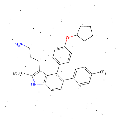 CCOC(=O)c1[nH]c2ccc(-c3ccc(C(F)(F)F)cc3)c(-c3ccc(OC4CCCC4)cc3)c2c1CCCN